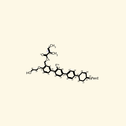 C/C=C(\C)C(=O)OCc1cc(-c2ccc(-c3ccc(C4CCC(CCCCC)CC4)cc3)cc2F)ccc1OCCO